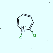 Cl[C]1=CC=CC=[CH][SnH]1[Cl]